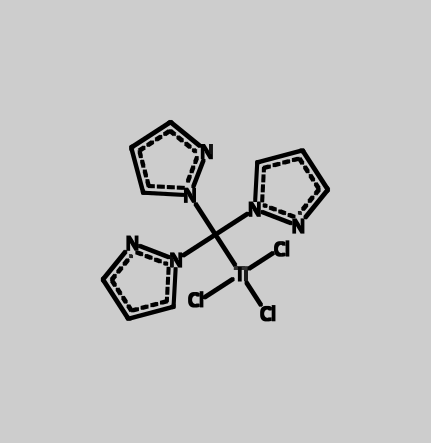 [Cl][Ti]([Cl])([Cl])[C](n1cccn1)(n1cccn1)n1cccn1